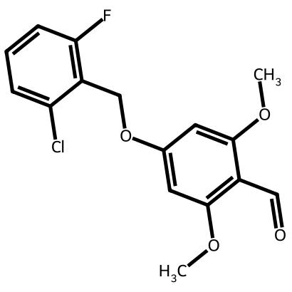 COc1cc(OCc2c(F)cccc2Cl)cc(OC)c1C=O